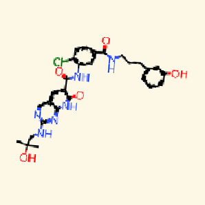 CC(C)(O)CNc1ncc2cc(C(=O)Nc3cc(C(=O)NCCCc4cccc(O)c4)ccc3Cl)c(=O)[nH]c2n1